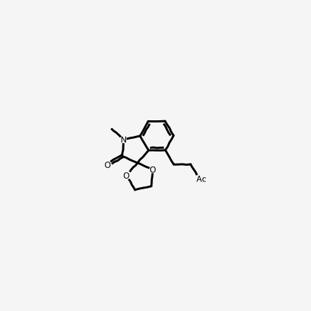 CC(=O)CCc1cccc2c1C1(OCCO1)C(=O)N2C